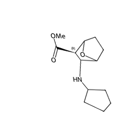 COC(=O)[C@H]1C2CCC(O2)C1NC1CCCC1